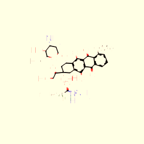 CCCCCCCC(=O)NN.COc1cccc2c1C(=O)c1c(O)c3c(c(O)c1C2=O)C[C@@](O)(C(=O)CO)C[C@@H]3O[C@H]1C[C@H](N)[C@H](O)[C@H](C)O1.Cl